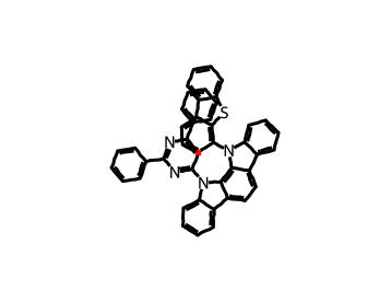 c1ccc(-c2cc(-n3c4ccccc4c4ccc5c6ccccc6n(-c6cccc7c6sc6ccccc67)c5c43)nc(-c3ccccc3)n2)cc1